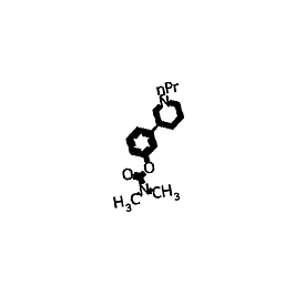 CCCN1CCC[C@@H](c2cccc(OC(=O)N(C)C)c2)C1